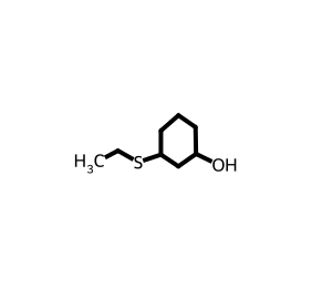 CCSC1CCCC(O)C1